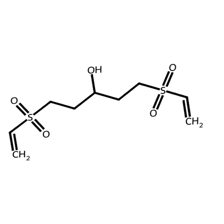 C=CS(=O)(=O)CCC(O)CCS(=O)(=O)C=C